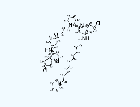 Clc1ccc2c(NCCCCCCCCCCCCN3CCCCC3)ccnc2c1.Clc1ccc2c(Nc3ccc(OCCCN4CCCCC4)cc3)ccnc2c1